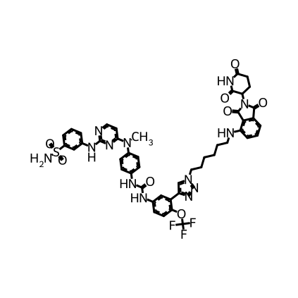 CN(c1ccc(NC(=O)Nc2ccc(OC(F)(F)F)c(-c3cn(CCCCCCNc4cccc5c4C(=O)N(C4CCC(=O)NC4=O)C5=O)nn3)c2)cc1)c1ccnc(Nc2cccc(S(N)(=O)=O)c2)n1